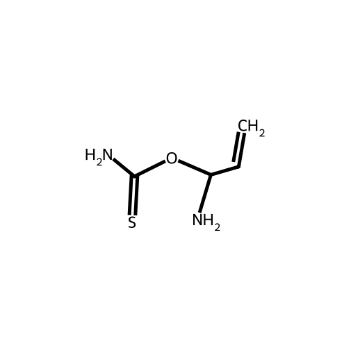 C=CC(N)OC(N)=S